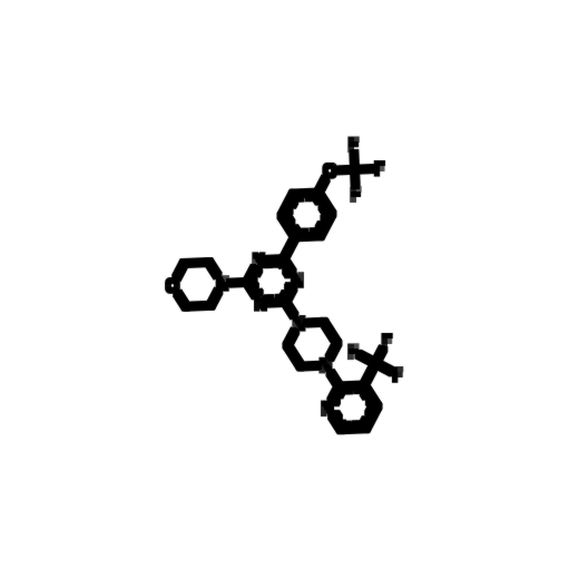 FC(F)(F)Oc1ccc(-c2nc(N3CCOCC3)nc(N3CCN(c4ncccc4C(F)(F)F)CC3)n2)cc1